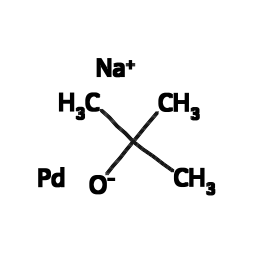 CC(C)(C)[O-].[Na+].[Pd]